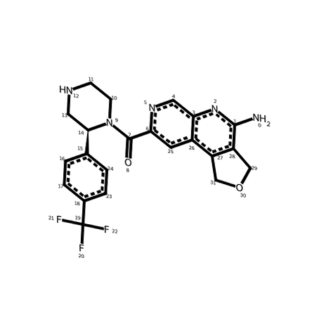 Nc1nc2cnc(C(=O)N3CCNC[C@@H]3c3ccc(C(F)(F)F)cc3)cc2c2c1COC2